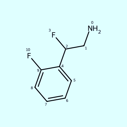 NCC(F)c1ccccc1F